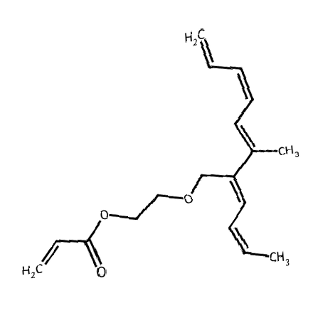 C=C\C=C/C=C(C)/C(=C/C=C\C)COCCOC(=O)C=C